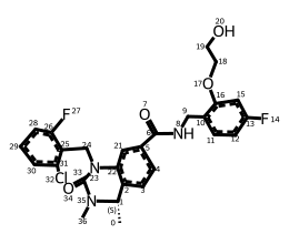 C[C@H]1c2ccc(C(=O)NCc3ccc(F)cc3OCCO)cc2N(Cc2c(F)cccc2Cl)C(=O)N1C